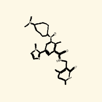 CCN(c1cc(-c2nccn2C)cc(C(=O)NCc2c(C)cc(C)[nH]c2=O)c1C)C1CCC(N(C)C)CC1